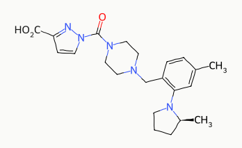 Cc1ccc(CN2CCN(C(=O)n3ccc(C(=O)O)n3)CC2)c(N2CCC[C@@H]2C)c1